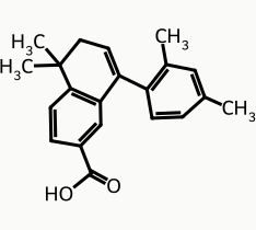 Cc1ccc(C2=CCC(C)(C)c3ccc(C(=O)O)cc32)c(C)c1